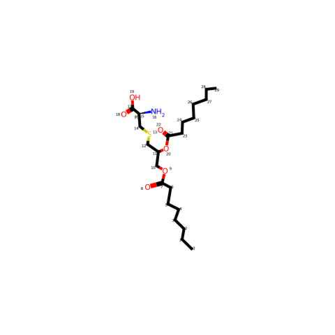 CCCCCCCC(=O)OCC(CSC[C@H](N)C(=O)O)OC(=O)CCCCCCC